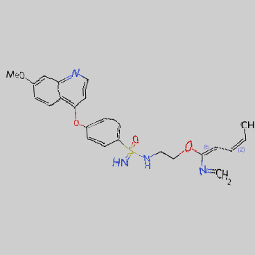 C=N/C(=C\C=C/C)OCCNS(=N)(=O)c1ccc(Oc2ccnc3cc(OC)ccc23)cc1